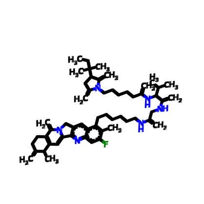 C=C(CNC(=C)C(NC(=C)CCCCCN1C(=C)CC(C(C)(C)CC)C1=C)C(C)C)NCCCCCCc1c(C)c(F)cc2nc3c(cc12)CN1C(=C)C2=C(C=C31)C(C)C(=C)CC2